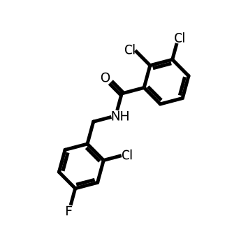 O=C(NCc1ccc(F)cc1Cl)c1cccc(Cl)c1Cl